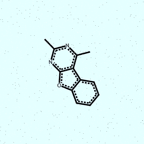 Cc1nc(C)c2c(n1)oc1ccccc12